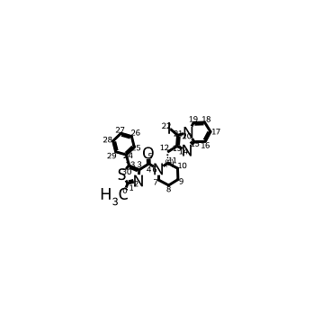 Cc1nc(C(=O)N2CCCC[C@H]2Cc2nc3ccccn3c2I)c(-c2ccccc2)s1